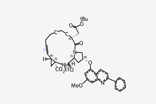 CCOC(=O)[C@]12C[C@@H]1/C=C\CCCCC[C@H](CC(=O)OC(C)(C)C)C(=O)N1C[C@H](Oc3cc(OC)cc4nc(-c5ccccc5)ccc34)C[C@H]1C(=O)N2